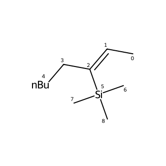 CC=C(CCCCC)[Si](C)(C)C